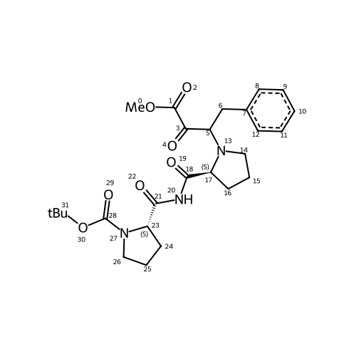 COC(=O)C(=O)C(Cc1ccccc1)N1CCC[C@H]1C(=O)NC(=O)[C@@H]1CCCN1C(=O)OC(C)(C)C